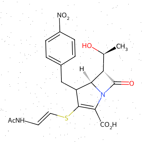 CC(=O)NC=CSC1=C(C(=O)O)N2C(=O)[C@@H]([C@H](C)O)[C@@H]2C1Cc1ccc([N+](=O)[O-])cc1